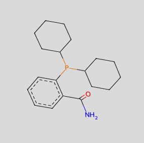 NC(=O)c1ccccc1P(C1CCCCC1)C1CCCCC1